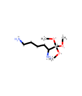 CO[Si](OC)(OC)C(N)CCCCN